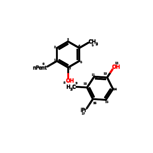 CCCCCc1ccc(C)cc1O.Cc1cc(O)ccc1C(C)C